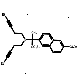 CCC#CCCN(CCC#CCC)C(C)(C(=O)OCC)c1ccc2cc(OC)ccc2c1